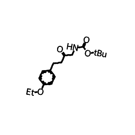 CCOc1ccc(CCC(=O)CNC(=O)OC(C)(C)C)cc1